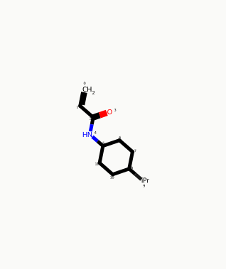 C=CC(=O)NC1CCC(C(C)C)CC1